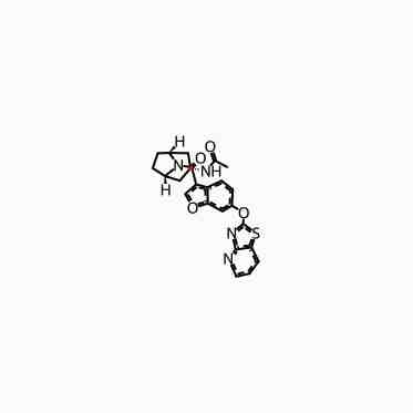 CC(=O)N[C@H]1C[C@H]2CC[C@@H](C1)N2C(=O)c1coc2cc(Oc3nc4ncccc4s3)ccc12